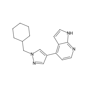 c1cc(-c2cnn(CC3CCCCC3)c2)c2cc[nH]c2n1